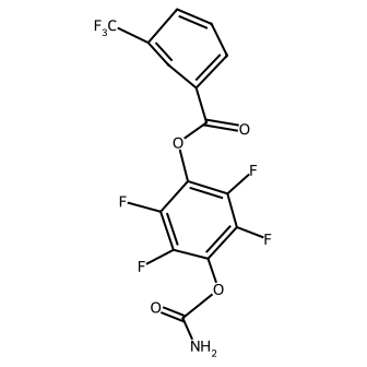 NC(=O)Oc1c(F)c(F)c(OC(=O)c2cccc(C(F)(F)F)c2)c(F)c1F